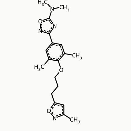 Cc1cc(CCCOc2c(C)cc(-c3noc(N(C)C)n3)cc2C)on1